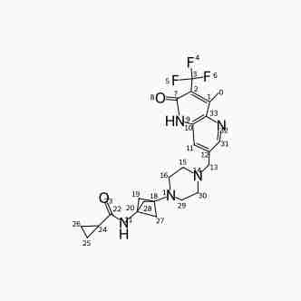 Cc1c(C(F)(F)F)c(=O)[nH]c2cc(CN3CCN(C45CC(NC(=O)C6CC6)(C4)C5)CC3)cnc12